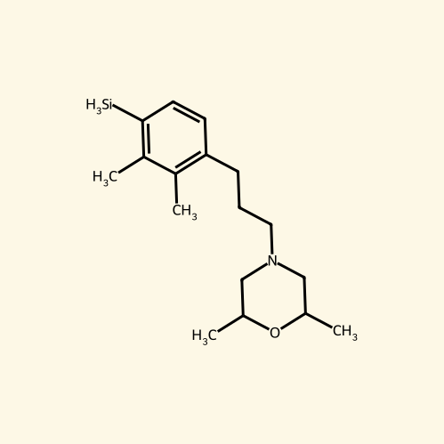 Cc1c([SiH3])ccc(CCCN2CC(C)OC(C)C2)c1C